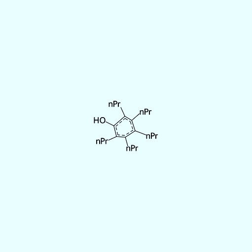 CCCc1c(O)c(CCC)c(CCC)c(CCC)c1CCC